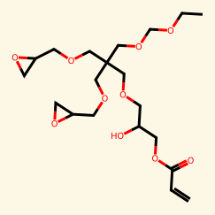 C=CC(=O)OCC(O)COCC(COCOCC)(COCC1CO1)COCC1CO1